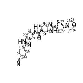 N#Cc1ccc(-c2nc3cc(NC(=O)c4ccc5nc(-c6ccc(N7CCOCC7)cc6)[nH]c5c4)ccc3[nH]2)cc1